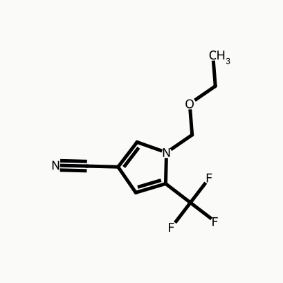 CCOCn1cc(C#N)cc1C(F)(F)F